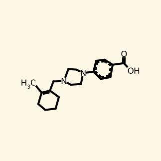 CC1=C(CN2CCN(c3ccc(C(=O)O)cc3)CC2)CCCC1